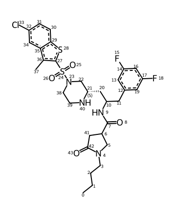 CCCCN1CC(C(=O)NC(Cc2cc(F)cc(F)c2)C[C@H]2CN(S(=O)(=O)c3sc4ccc(Cl)cc4c3C)CCN2)CC1=O